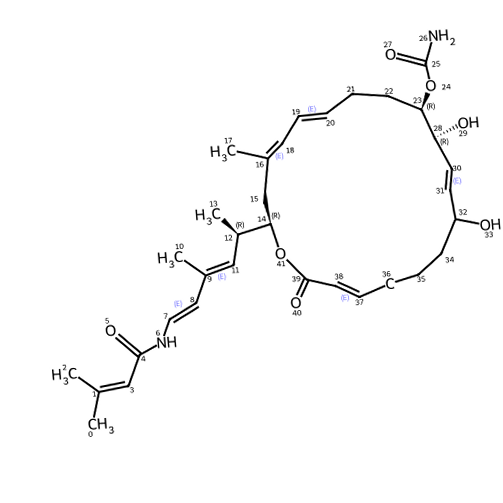 CC(C)=CC(=O)N/C=C/C(C)=C/[C@@H](C)[C@H]1C/C(C)=C/C=C/CC[C@@H](OC(N)=O)[C@H](O)/C=C/C(O)CCC/C=C/C(=O)O1